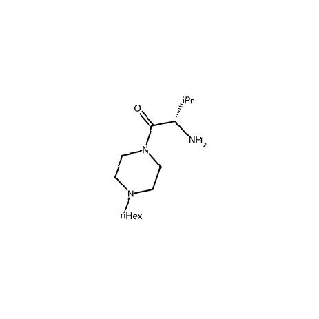 CCCCCCN1CCN(C(=O)[C@@H](N)C(C)C)CC1